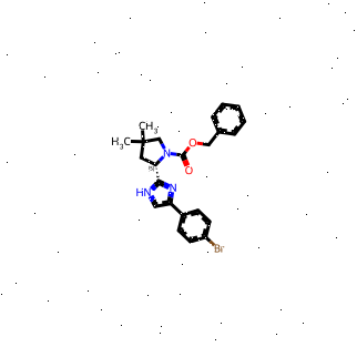 CC1(C)C[C@@H](c2nc(-c3ccc(Br)cc3)c[nH]2)N(C(=O)OCc2ccccc2)C1